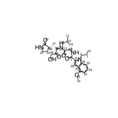 CCCn1c(C(=O)N[C@@H](CC(C)C)C(=O)N[C@@H](C[C@@H]2CCNC2=O)C(=O)CO)cc2c(OC)cccc21